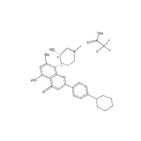 CN1CC[C@H](c2c(O)cc(O)c3c(=O)cc(-c4ccc(C5CCCCC5)cc4)oc23)[C@H](O)C1.O=C(O)C(F)(F)F